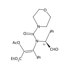 CCOC(=O)C(OC(C)=O)=C(C(C)C)N(C(=O)N1CCOCC1)[C@H]([C]=O)C(C)C